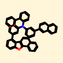 c1ccc(-c2ccccc2N(c2cccc(-c3ccc4ccccc4c3)c2)c2cccc(-c3cccc4oc5c6ccccc6ccc5c34)c2)cc1